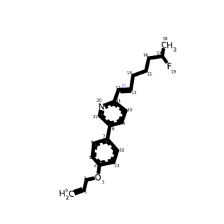 C=CCOc1ccc(-c2ccc(/C=C/CCCC(C)F)nc2)cc1